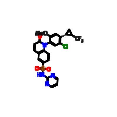 COc1cc([C@@H]2C[C@H]2C(F)(F)F)c(Cl)cc1-n1c(=O)ccc2cc(S(=O)(=O)Nc3ncccn3)ccc21